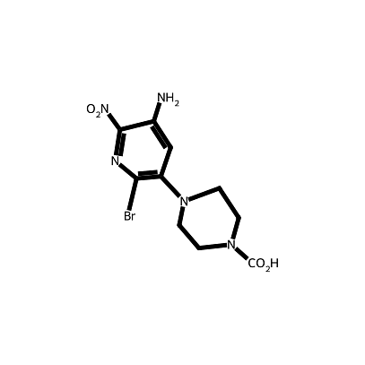 Nc1cc(N2CCN(C(=O)O)CC2)c(Br)nc1[N+](=O)[O-]